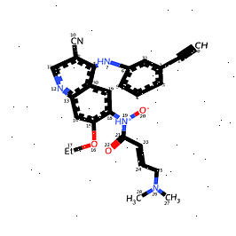 C#Cc1cccc(Nc2c(C#N)cnc3cc(OCC)c([NH+]([O-])C(=O)/C=C/CN(C)C)cc23)c1